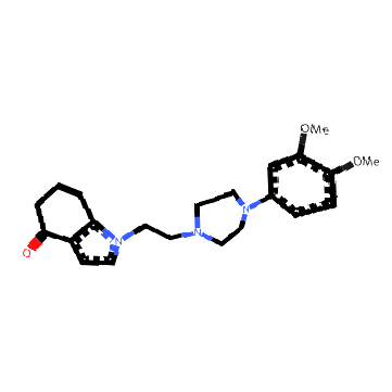 COc1ccc(N2CCN(CCn3ccc4c3CCCC4=O)CC2)cc1OC